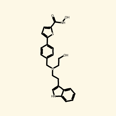 O=C(NO)c1ccc(-c2ccc(CN(CCO)CCc3c[nH]c4ccccc34)cc2)s1